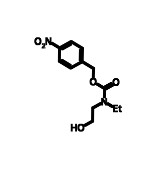 CCN(CCO)C(=O)OCc1ccc([N+](=O)[O-])cc1